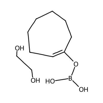 OB(O)OC1=CCCCCCC1.OCCO